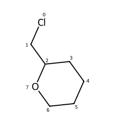 ClCC1CCCCO1